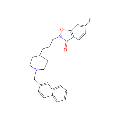 O=c1c2ccc(F)cc2on1CCCC1CCN(Cc2ccc3ccccc3c2)CC1